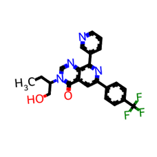 CCC(CO)n1cnc2c(-c3cccnc3)nc(-c3ccc(C(F)(F)F)cc3)cc2c1=O